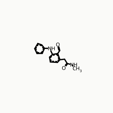 CNC(=O)Cc1cccc(Nc2ccccc2)c1C=O